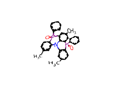 Cc1ccc2c(c1)N1c3cc(C)ccc3P(=O)(c3ccccc3)c3cc(C)cc(c31)P2(=O)c1ccccc1